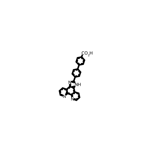 O=C(O)c1ccc(-c2ccc(-c3nc4c5cccnc5c5ncccc5c4[nH]3)cc2)cc1